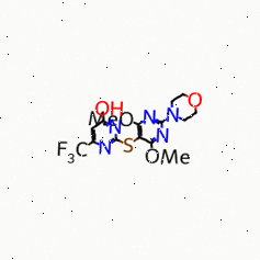 COc1nc(N2CCOCC2)nc(OC)c1Sc1nc(O)cc(C(F)(F)F)n1